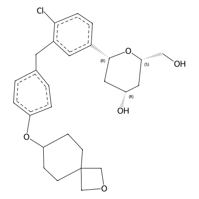 OC[C@@H]1C[C@H](O)C[C@H](c2ccc(Cl)c(Cc3ccc(OC4CCC5(CC4)COC5)cc3)c2)O1